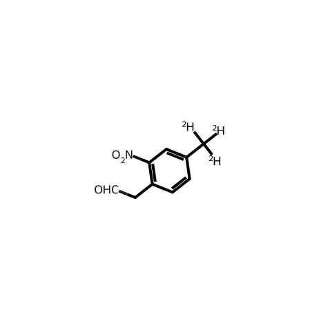 [2H]C([2H])([2H])c1ccc(CC=O)c([N+](=O)[O-])c1